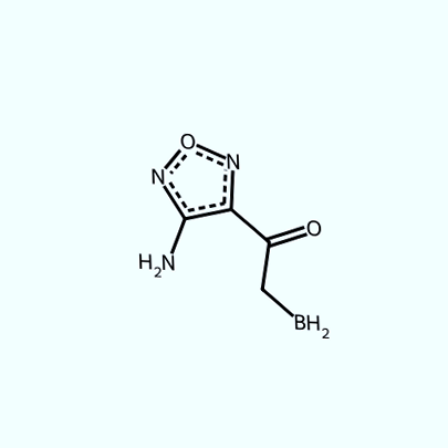 BCC(=O)c1nonc1N